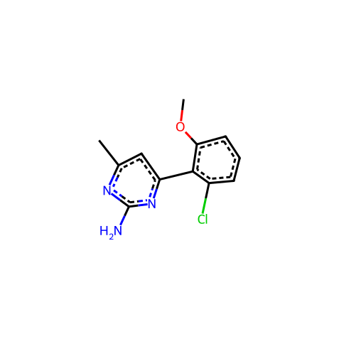 COc1cccc(Cl)c1-c1cc(C)nc(N)n1